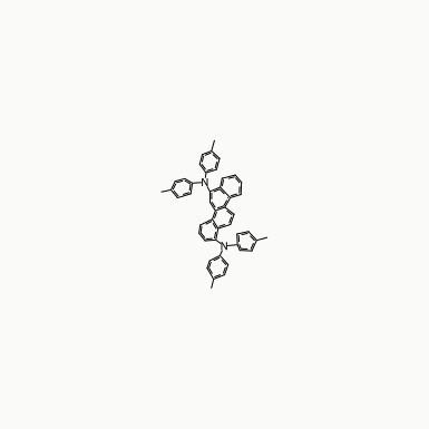 Cc1ccc(N(c2ccc(C)cc2)c2cc3c4cccc(N(c5ccc(C)cc5)c5ccc(C)cc5)c4ccc3c3ccccc23)cc1